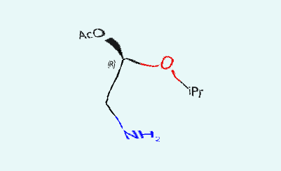 CC(=O)O[C@H](CN)OC(C)C